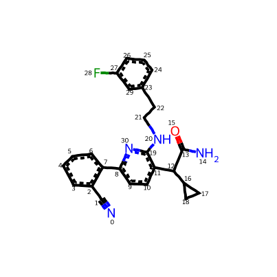 N#Cc1ccccc1-c1ccc(C(C(N)=O)C2CC2)c(NCCc2cccc(F)c2)n1